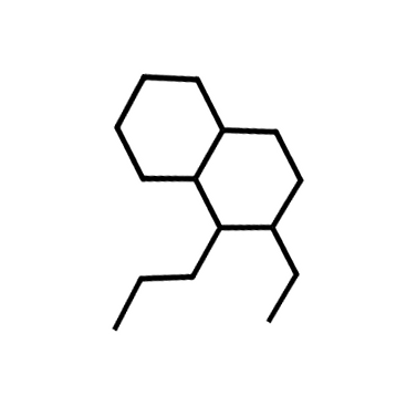 CCCC1C(CC)CCC2CCCCC21